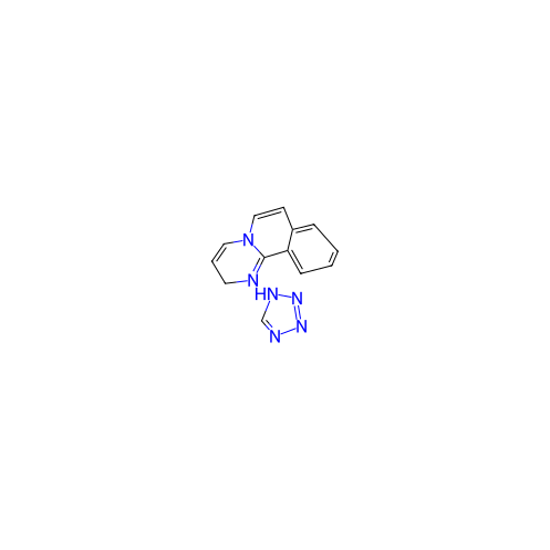 C1=CN2C=Cc3ccccc3C2=NC1.c1nnn[nH]1